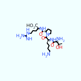 C[C@@H](O)[C@H](N)C(=O)N[C@@H](CCCCN)C(=O)N1CCC[C@H]1C(=O)N[C@@H](CCCNC(=N)N)C(=O)O